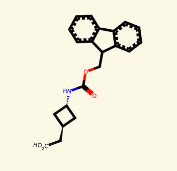 O=C(O)C[C@H]1C[C@H](NC(=O)OCC2c3ccccc3-c3ccccc32)C1